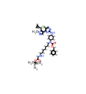 Cn1ncc(-c2nc(N[C@H]3CC[C@H](N(CCCCCCCNCC(=O)OC(C)(C)C)C(=O)OCc4ccccc4)CC3)ncc2Cl)c1CC1CC1